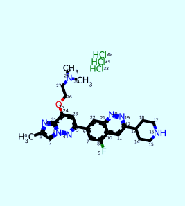 Cc1cn2nc(-c3cc(F)c4cc(C5CCNCC5)nnc4c3)cc(OCCN(C)C)c2n1.Cl.Cl.Cl